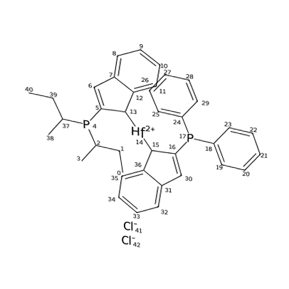 CCC(C)P(C1=Cc2ccccc2[CH]1[Hf+2][CH]1C(P(c2ccccc2)c2ccccc2)=Cc2ccccc21)C(C)CC.[Cl-].[Cl-]